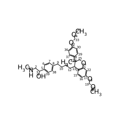 CNCC(O)c1ccc(CCCCC2c3ccc(OCOC)cc3OCC2(C)c2ccc(OCOC)cc2)cc1